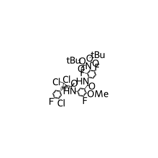 COc1c(F)cc(NC(=O)[C@H]2[C@H](c3ccc(F)c(Cl)c3)C2(Cl)Cl)cc1C(=O)Nc1ccc(F)c(N(C(=O)OC(C)(C)C)C(=O)OC(C)(C)C)c1F